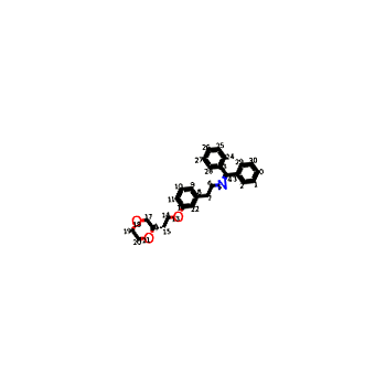 c1ccc(C(=NCCc2cccc(OCC[C@H]3COCCO3)c2)c2ccccc2)cc1